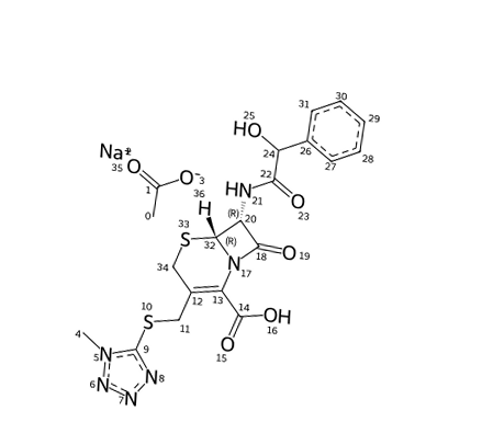 CC(=O)[O-].Cn1nnnc1SCC1=C(C(=O)O)N2C(=O)[C@@H](NC(=O)C(O)c3ccccc3)[C@H]2SC1.[Na+]